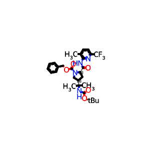 Cc1ccc(C(F)(F)F)nc1NC(=O)[C@@H]1C[C@H](C(C)(C)NC(=O)OC(C)(C)C)CN1C(=O)OCc1ccccc1